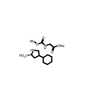 COC(=O)CNC(=O)OC(C)(C)C.O=C(O)[C@@H]1CC(C2CCCCC2)CN1